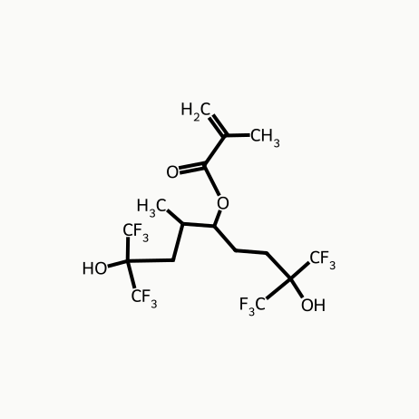 C=C(C)C(=O)OC(CCC(O)(C(F)(F)F)C(F)(F)F)C(C)CC(O)(C(F)(F)F)C(F)(F)F